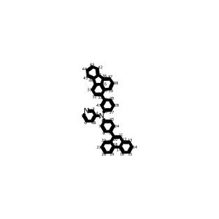 c1cncc(N(c2ccc(-c3cc4ccccc4c4ccccc34)cc2)c2cccc(-c3ccc4c5c(cccc35)-c3ccccc3-4)c2)c1